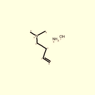 C=CCCN(C)C.Cl.N